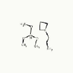 CO[SiH](OC)OC.NCCN1CCC1